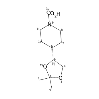 CC1(C)OC[C@@H](C2CCN(C(=O)O)CC2)O1